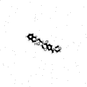 CC(C1C=CC2=C(C1)OCCN(C[C@H](O)CN1CCc3ccccc3C1)C2=O)N1CCOCC1